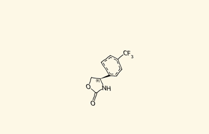 O=C1N[C@H](c2ccc(C(F)(F)F)cc2)CO1